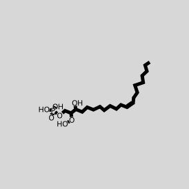 CCCCCCCC/C=C\CCCCCCCCC(O)C(COP(=O)(O)O)OO